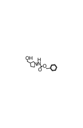 O=C(NN1CCC(CO)C1)OCc1ccccc1